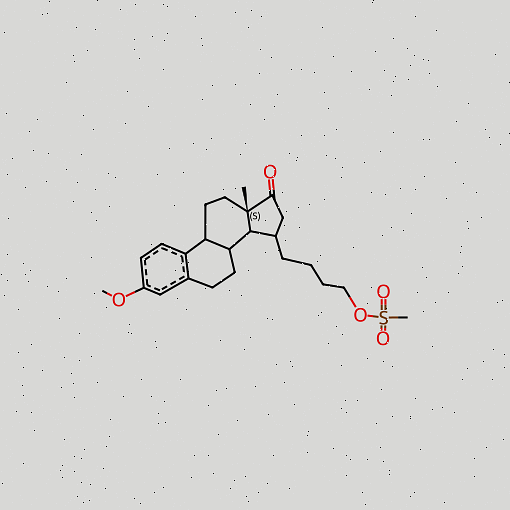 COc1ccc2c(c1)CCC1C2CC[C@]2(C)C(=O)CC(CCCCOS(C)(=O)=O)C12